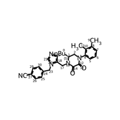 CCCC[C@H]1CN(c2cccc(C)c2C)C(=O)C(=O)N1Cc1cncn1Cc1ccc(C#N)cc1